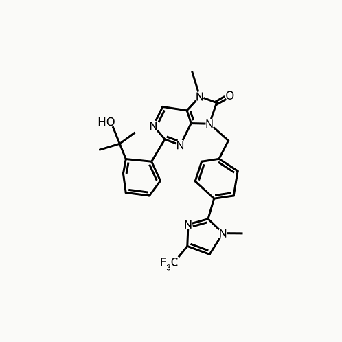 Cn1cc(C(F)(F)F)nc1-c1ccc(Cn2c(=O)n(C)c3cnc(-c4ccccc4C(C)(C)O)nc32)cc1